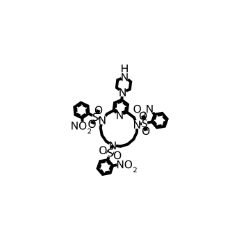 O=[N+]([O-])c1ccccc1S(=O)(=O)N1CCCCN(S(=O)(=O)c2ccccc2[N+](=O)[O-])Cc2cc(N3CCNCC3)cc(n2)CN(S(=O)(=O)c2ccccc2[N+](=O)[O-])CCC1